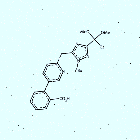 CCCCn1nc(C(CC)(OC)OC)nc1Cc1ccc(-c2ccccc2C(=O)O)cn1